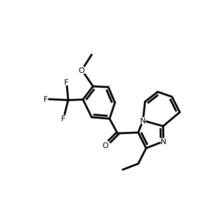 CCc1nc2ccccn2c1C(=O)c1ccc(OC)c(C(F)(F)F)c1